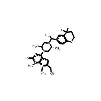 CC(c1ccc2c(c1)C(F)(F)CCO2)N1C[C@H](C)N(c2nc(=O)n(C)c3c2nc(CC#N)n3C)C[C@H]1C